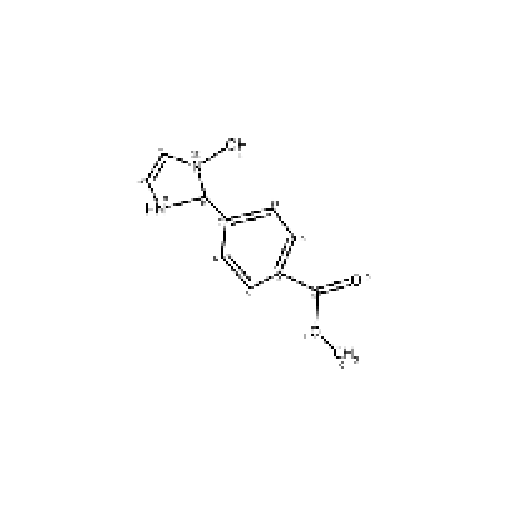 COC(=O)c1ccc(C2NC=CN2O)cc1